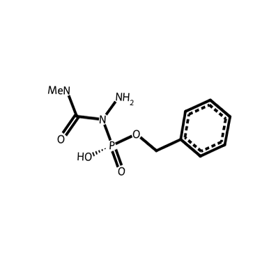 CNC(=O)N(N)[P@@](=O)(O)OCc1ccccc1